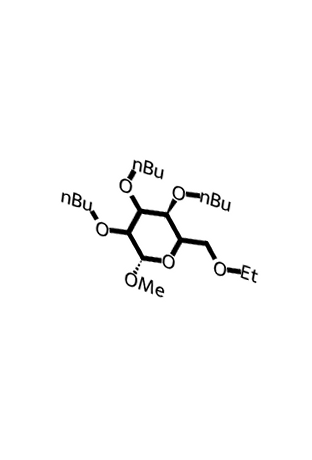 CCCCOC1C(OCCCC)[C@@H](OCCCC)C(COCC)O[C@@H]1OC